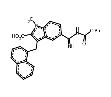 CC(C)COC(=O)NC(=N)c1ccc2c(c1)c(Cc1cccc3ccccc13)c(C(=O)O)n2C